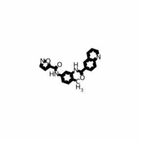 Cc1ccc(NC(=O)c2ccno2)cc1NC(=O)c1ccc2ncccc2c1